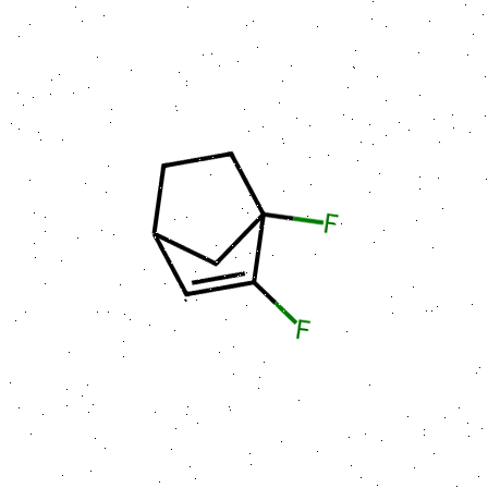 FC1=[C]C2CCC1(F)C2